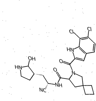 N#C[C@H](C[C@@H]1CCNC1O)NC(=O)C1CC2(CCC2)CN1C(=O)c1cc2ccc(Cl)c(Cl)c2[nH]1